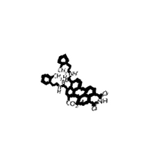 Cc1ccccc1CCNC(=N)c1cc(C(=O)O)c2c3ccc4c5c(ccc(c6ccc(C(=O)NCCc7ccccc7C)c1c62)c53)C(=O)NC4=O